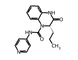 CCC[C@H]1C(=O)Nc2ccccc2N1C(=O)Nc1ccncc1